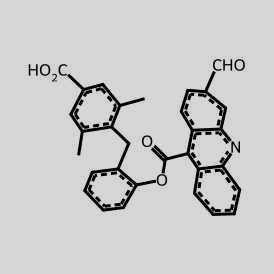 Cc1cc(C(=O)O)cc(C)c1Cc1ccccc1OC(=O)c1c2ccccc2nc2cc(C=O)ccc12